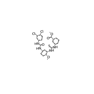 COC(=O)c1cccc(NC(=S)Nc2cc(NC(=O)Nc3ccc(Cl)c(Cl)c3)ccc2OC)c1